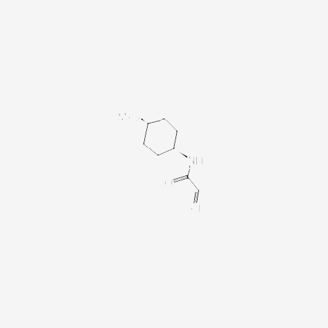 C=CC(=O)N[C@H]1CC[C@@H](SC)CC1